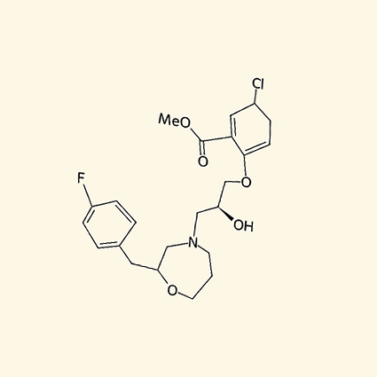 COC(=O)C1=CC(Cl)CC=C1OC[C@@H](O)CN1CCCOC(Cc2ccc(F)cc2)C1